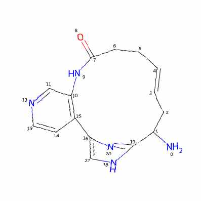 NC1C/C=C/CCC(=O)Nc2cnccc2-c2c[nH]c1n2